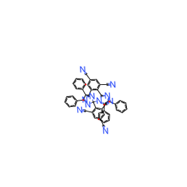 N#Cc1cc(C#N)c(-c2nc(-c3ccccc3)c(-c3ccccc3)n2C2(c3c(C#N)cc(C#N)cc3C#N)N=C(c3ccccc3)C(c3ccccc3)=N2)c(C#N)c1